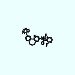 O=C(Nc1cnc2c(c1)CCCc1ccc(-c3ncco3)cc1-2)c1c(F)cccc1F